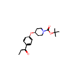 CCC(=O)c1ccc(OC2CCN(C(=O)OC(C)(C)C)CC2)cc1